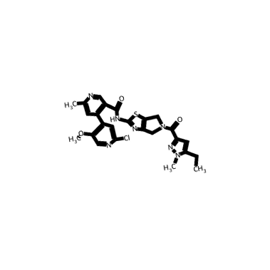 CCc1cc(C(=O)N2Cc3nc(NC(=O)c4cnc(C)cc4-c4cc(Cl)ncc4OC)sc3C2)nn1C